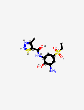 CCS(=O)(=O)c1cc(N)c(O)c(NC(=O)c2snnc2C)c1